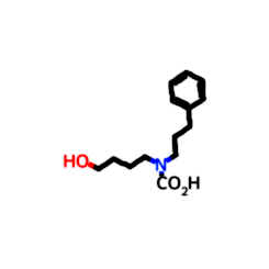 O=C(O)N(CCCCO)CCCc1ccccc1